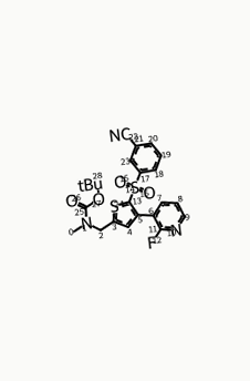 CN(Cc1cc(-c2cccnc2F)c(S(=O)(=O)c2cccc(C#N)c2)s1)C(=O)OC(C)(C)C